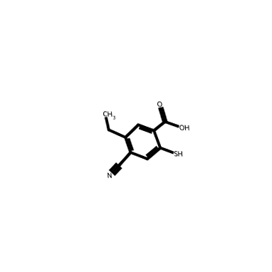 CCc1cc(C(=O)O)c(S)cc1C#N